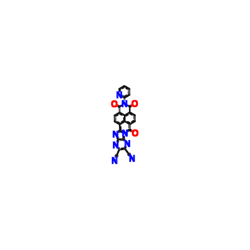 N#Cc1nc2nc3c4ccc5c6c(ccc(c(=O)n3c2nc1C#N)c64)C(=O)N(c1ccccn1)C5=O